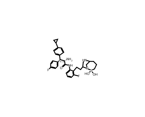 N[C@H](C(=O)Nc1cccc(F)c1CCC1CNC2CCCS(O)(O)N1C2)[C@@H](c1ccc(F)cc1)c1ccc(C2CC2)cc1